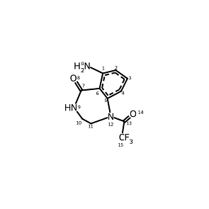 Nc1cccc2c1C(=O)NCCN2C(=O)C(F)(F)F